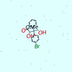 COC(=O)C(O)C(CO)(c1ccccc1)c1ccc(Br)cc1